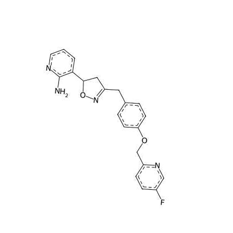 Nc1ncccc1C1CC(Cc2ccc(OCc3ccc(F)cn3)cc2)=NO1